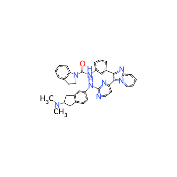 CN(C)C1Cc2ccc(Nc3nccc(-c4c(-c5cccc(NC(=O)N6CCc7ccccc76)c5)nc5ccccn45)n3)cc2C1